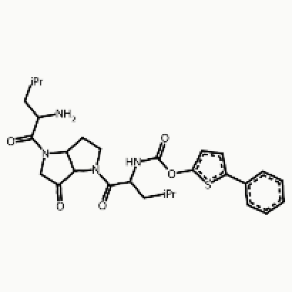 CC(C)CC(N)C(=O)N1CC(=O)C2C1CCN2C(=O)C(CC(C)C)NC(=O)Oc1ccc(-c2ccccc2)s1